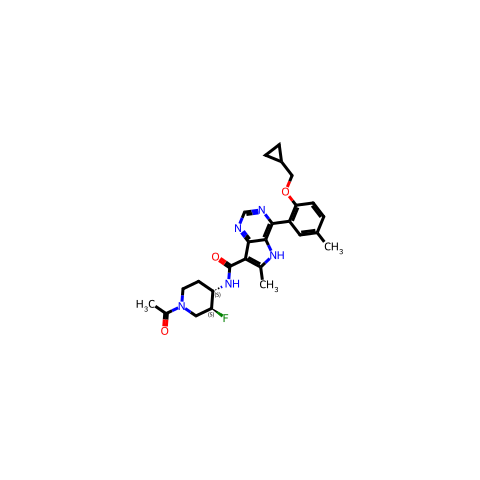 CC(=O)N1CC[C@H](NC(=O)c2c(C)[nH]c3c(-c4cc(C)ccc4OCC4CC4)ncnc23)[C@@H](F)C1